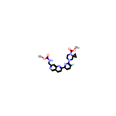 CC(C)(C)OC(=O)NCc1cc2nc(-c3ccc(F)c(N4CCN(C(=O)OC(C)(C)C)C5(CC5)C4)n3)ccc2cn1